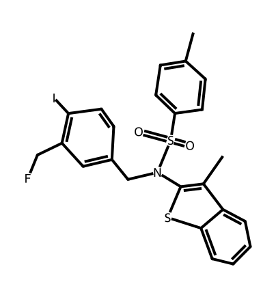 Cc1ccc(S(=O)(=O)N(Cc2ccc(I)c(CF)c2)c2sc3ccccc3c2C)cc1